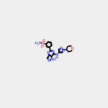 NS(=O)(=O)c1cccc(-c2nc(Nc3cnn(C4CCOCC4)c3)c3[nH]ncc3n2)c1